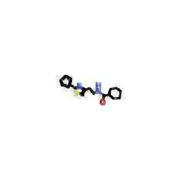 O=C(NCCc1csc(-c2ccccc2)n1)C1CCCCC1